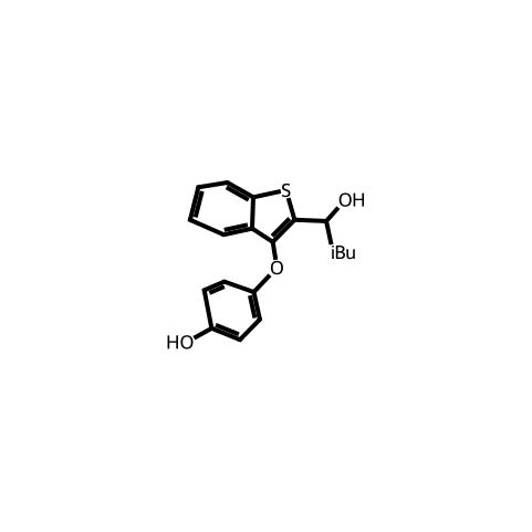 CCC(C)C(O)c1sc2ccccc2c1Oc1ccc(O)cc1